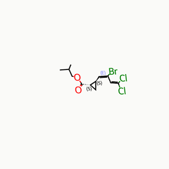 CC(C)COC(=O)[C@H]1C[C@@H]1/C=C(/Br)C=C(Cl)Cl